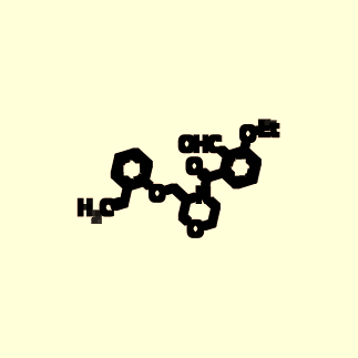 C=Cc1ccccc1OCC1COCCN1C(=O)c1cccc(OCC)c1C=O